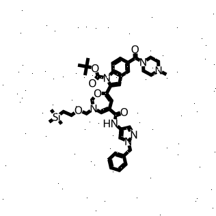 CN1CCN(C(=O)c2ccc3c(c2)cc(C2=CC(C(=O)Nc4cnn(Cc5ccccc5)c4)=CN(COCC[Si](C)(C)C)CO2)n3C(=O)OC(C)(C)C)CC1